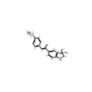 C/C(=C\c1ccc(C(=O)O)cc1)c1ccc2c(c1)C(C)(C)CO2